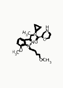 COCCCCn1nc([C@@H](C)N(C(=O)[C@H]2CNCCO2)C2CC2)c2cccc(OC)c21